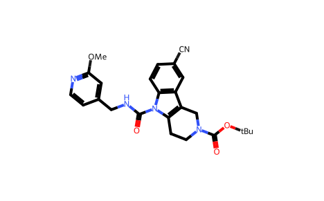 COc1cc(CNC(=O)n2c3c(c4cc(C#N)ccc42)CN(C(=O)OC(C)(C)C)CC3)ccn1